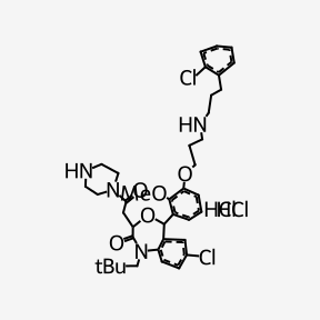 COc1c(OCCCNCCCc2ccccc2Cl)cccc1C1OC(CC(=O)N2CCNCC2)C(=O)N(CC(C)(C)C)c2ccc(Cl)cc21.Cl.Cl